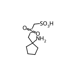 NC1(CS(=O)(=O)CS(=O)(=O)O)CCCC1